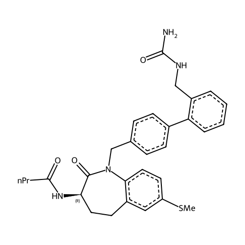 CCCC(=O)N[C@@H]1CCc2cc(SC)ccc2N(Cc2ccc(-c3ccccc3CNC(N)=O)cc2)C1=O